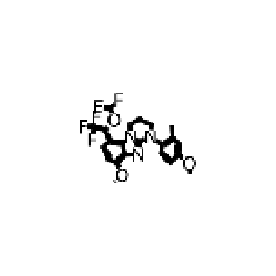 COc1ccc(N2CCCn3c2nc2c(OC)ccc(C(OC(F)F)C(F)(F)F)c23)c(C)c1